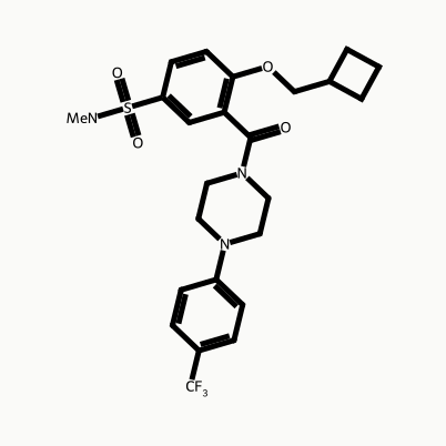 CNS(=O)(=O)c1ccc(OCC2CCC2)c(C(=O)N2CCN(c3ccc(C(F)(F)F)cc3)CC2)c1